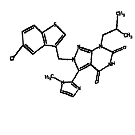 CC(C)Cn1c(=O)[nH]c(=O)c2c(-c3nccn3C)n(Cc3csc4ccc(Cl)cc34)nc21